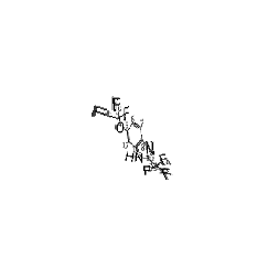 FC(F)(F)Oc1ccc2nc(C(F)(F)F)[nH]c2c1